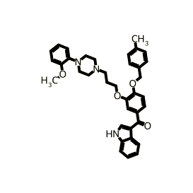 COc1ccccc1N1CCN(CCCOc2cc(C(=O)c3c[nH]c4ccccc34)ccc2OCc2ccc(C)cc2)CC1